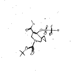 COC(=O)C1=C(OS(=O)(=O)C(F)(F)F)C2(CC2)CN(C(=O)OC(C)(C)C)C1